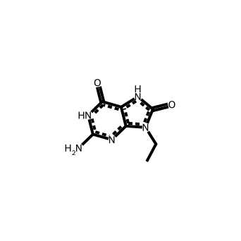 CCn1c(=O)[nH]c2c(=O)[nH]c(N)nc21